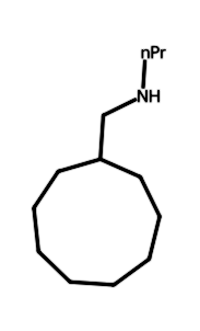 CCCNCC1CCCCCCCC1